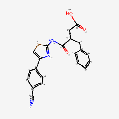 N#Cc1ccc(-c2csc(NC(=O)C(CC(=O)O)Cc3ccccc3)n2)cc1